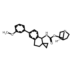 COc1cccc(-c2ccc3c(c2)CCC2(CC2)C3NC(=O)O[C@H]2CN3CCC2CC3)c1